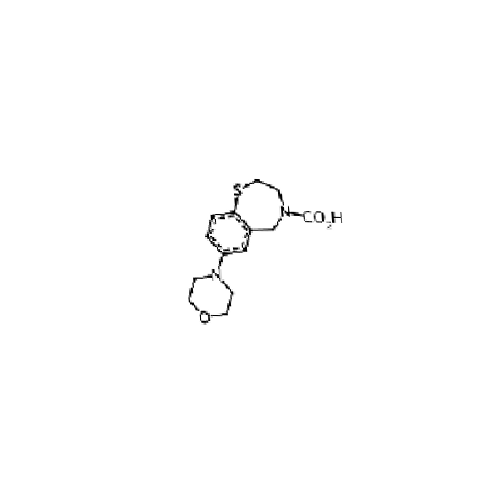 O=C(O)N1CCSc2ccc(N3CCOCC3)cc2C1